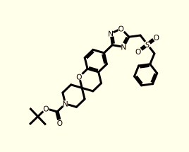 CC(C)(C)OC(=O)N1CCC2(CCc3cc(-c4noc(CS(=O)(=O)Cc5ccccc5)n4)ccc3O2)CC1